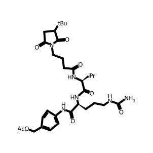 CC(=O)OCc1ccc(NC(=O)[C@H](CCCNC(N)=O)NC(=O)[C@@H](NC(=O)CCCN2C(=O)CC(C(C)(C)C)C2=O)C(C)C)cc1